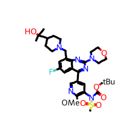 COc1ncc(-c2nc(N3CCOCC3)nc3c(CN4CCC(C(C)(C)O)CC4)cc(F)cc23)cc1N(C(=O)OC(C)(C)C)S(C)(=O)=O